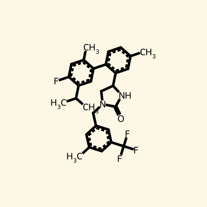 Cc1cc(CN2CC(c3cc(C)ccc3-c3cc(C(C)C)c(F)cc3C)NC2=O)cc(C(F)(F)F)c1